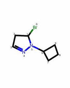 BrC1CC=NN1C1CCC1